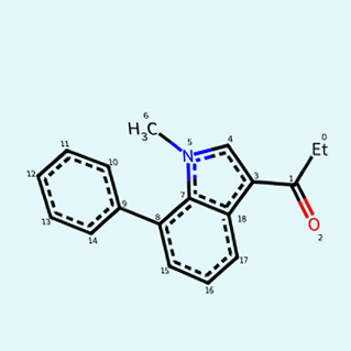 CCC(=O)c1cn(C)c2c(-c3ccccc3)cccc12